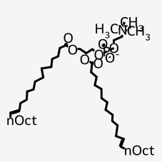 CCCCCCCCC=CCCCCCCCCCCCC(=O)OCC(COP(=O)([O-])OCC[N+](C)(C)C)OC(=O)CCCCCCCCCCCC=CCCCCCCCC